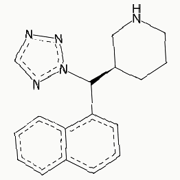 c1ccc2c(C([C@@H]3CCCNC3)n3ncnn3)cccc2c1